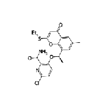 CCSc1cc(=O)c2cc(C)cc([C@@H](C)Oc3ccc(Cl)nc3C(N)=O)c2o1